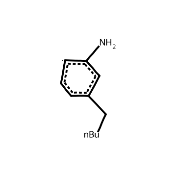 CCCCCc1cc[c]c(N)c1